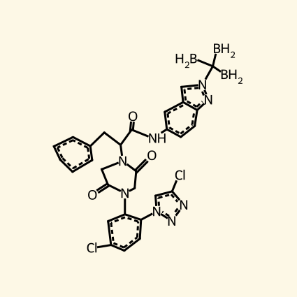 BC(B)(B)n1cc2cc(NC(=O)C(Cc3ccccc3)N3CC(=O)N(c4cc(Cl)ccc4-n4cc(Cl)nn4)CC3=O)ccc2n1